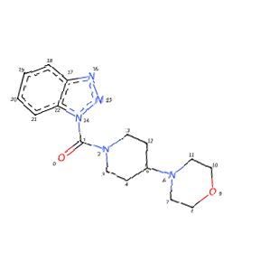 O=C(N1CCC(N2CCOCC2)CC1)n1nnc2ccccc21